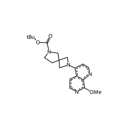 COc1nccc2c(N3CC4(CCN(C(=O)OC(C)(C)C)C4)C3)ccnc12